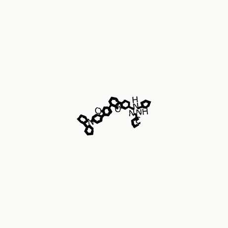 C1=c2oc3c(-c4ccc5c(c4)oc4cc(-n6c7ccccc7c7ccccc76)ccc45)cccc3c2=CCC1C1=NC(c2ccccc2)NC(c2ccccc2)N1